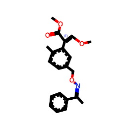 CO/C=C(/C(=O)OC)c1cc(CON=C(C)c2ccccc2)ccc1C